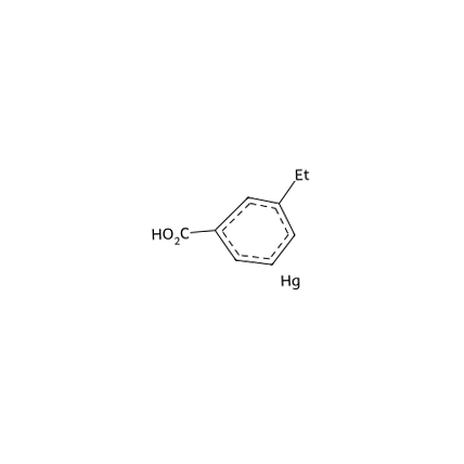 CCc1cccc(C(=O)O)c1.[Hg]